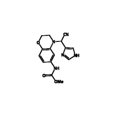 COC(=O)Nc1ccc2c(c1)N(C(C#N)c1c[nH]cn1)CCO2